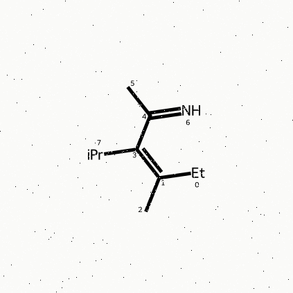 CC/C(C)=C(\C(C)=N)C(C)C